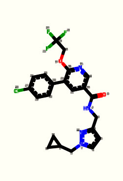 O=C(NCc1ccn(CC2CC2)n1)c1cnc(OCC(F)(F)F)c(-c2ccc(Cl)cc2)c1